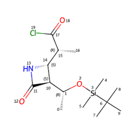 C[C@@H](O[Si](C)(C)C(C)(C)C)[C@H]1C(=O)N[C@@H]1[C@@H](C)C(=O)Cl